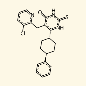 O=c1[nH]c(=S)[nH]c([C@H]2CC[C@H](c3ccccc3)CC2)c1Cc1ncccc1Cl